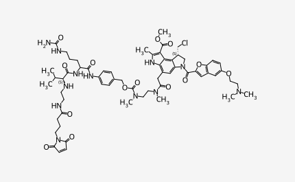 COC(=O)c1c(C)[nH]c2c(CC(=O)N(C)CCN(C)C(=O)OCc3ccc(NC(=O)C(CCCNC(N)=O)NC(=O)[C@@H](NCCNC(=O)CCCN4C(=O)C=CC4=O)C(C)C)cc3)cc3c(c12)[C@H](CCl)CN3C(=O)c1cc2cc(OCCN(C)C)ccc2o1